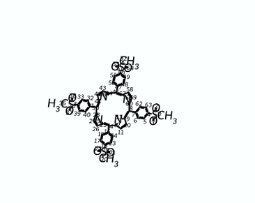 CS(=O)(=O)c1ccc(/C2=C3\C=CC(=N3)/C(c3ccc(S(C)(=O)=O)cc3)=C3/C=CC(=N3)/C(c3ccc(S(C)(=O)=O)cc3)=C3/C=CC(=N3)/C(c3ccc(S(C)(=O)=O)cc3)=C3/C=CC2=N3)cc1